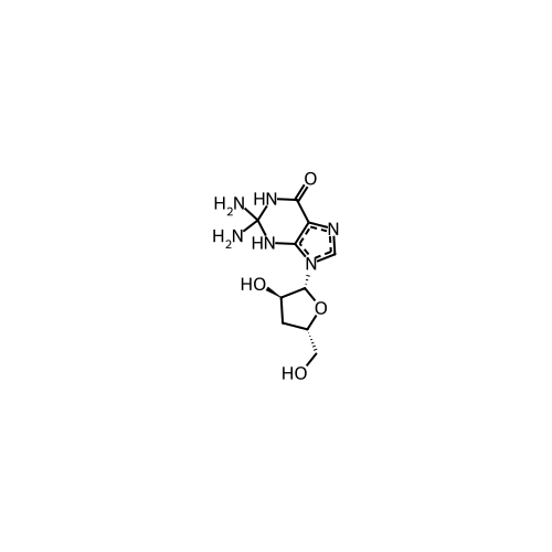 NC1(N)NC(=O)c2ncn([C@@H]3O[C@H](CO)C[C@H]3O)c2N1